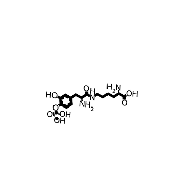 N[C@@H](CCCCNC(=O)[C@@H](N)Cc1ccc(OP(=O)(O)O)c(O)c1)C(=O)O